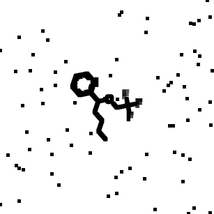 CCCCC(OCC(F)(F)F)c1ccccn1